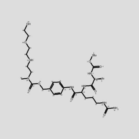 CC(C)[C@H](NC(=O)OC(C)(C)C)C(=O)NC(CCCNC(N)=O)C(=O)Nc1ccc(COC(=O)N(C)CCNCCOCCO)cc1